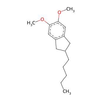 CCCCCC1Cc2cc(OC)c(OC)cc2C1